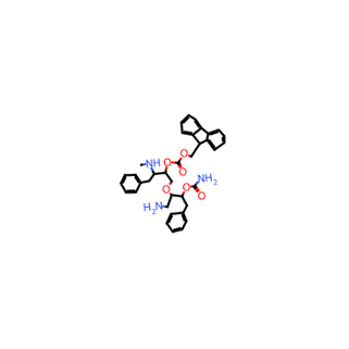 CNC(Cc1ccccc1)C(COC(CN)C(Cc1ccccc1)OC(N)=O)OC(=O)OCC1c2ccccc2-c2ccccc21